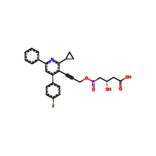 O=C(O)C[C@H](O)C[PH](=O)OCC#Cc1c(-c2ccc(F)cc2)cc(-c2ccccc2)nc1C1CC1